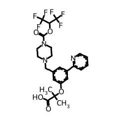 CC(C)(Oc1cc(CN2CCN(C(=O)OC(C(F)(F)F)C(F)(F)F)CC2)cc(-c2ccccn2)c1)C(=O)O